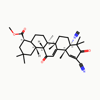 C#[N+][C@@]12CC[C@]3(C)C(=CC(=O)[C@@H]4[C@@H]5CC(C)(C)C[C@@H](C(=O)OC)C5CC[C@]43C)[C@@]1(C)C=C(C#N)C(=O)C2(C)C